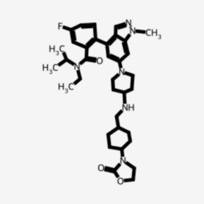 CCN(C(=O)c1cc(F)ccc1-c1cc(N2CCC(NCC3CCC(N4CCOC4=O)CC3)CC2)cc2c1cnn2C)C(C)C